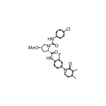 CO[C@@H]1C[C@H](C(=O)Nc2ccc(-n3ccc(C)c(C)c3=O)cc2F)N(C(=O)Nc2ccc(Cl)cc2)C1